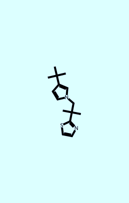 CC(C)(C)c1ccn(CC(C)(C)c2nccs2)c1